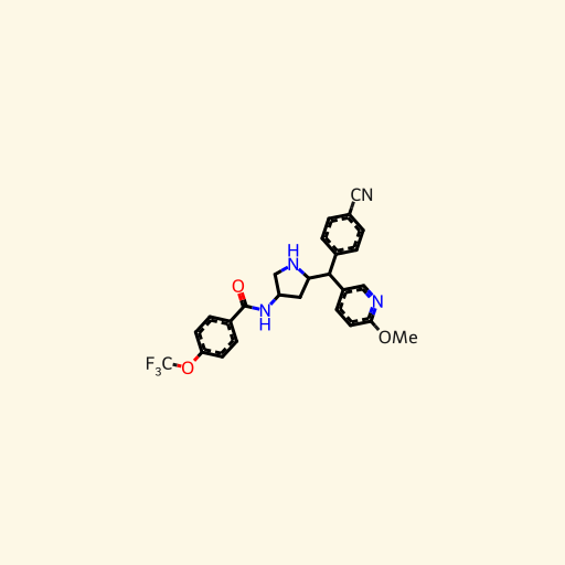 COc1ccc(C(c2ccc(C#N)cc2)C2CC(NC(=O)c3ccc(OC(F)(F)F)cc3)CN2)cn1